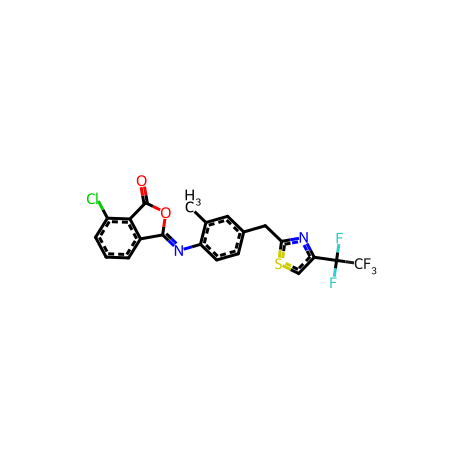 Cc1cc(Cc2nc(C(F)(F)C(F)(F)F)cs2)ccc1N=C1OC(=O)c2c(Cl)cccc21